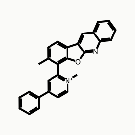 Cc1ccc2c(oc3nc4ccccc4cc32)c1-c1cc(-c2ccccc2)cc[n+]1C